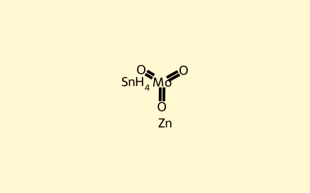 [O]=[Mo](=[O])=[O].[SnH4].[Zn]